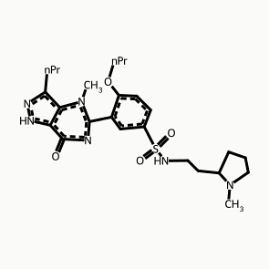 CCCOc1ccc(S(=O)(=O)NCCC2CCCN2C)cc1-c1nc(=O)c2[nH]nc(CCC)c2n1C